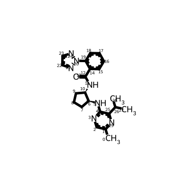 Cc1cnc(N[C@H]2CCC[C@@H]2NC(=O)c2ccccc2-n2nccn2)c(C(C)C)n1